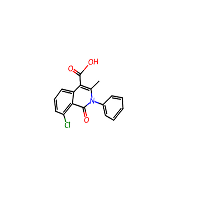 Cc1c(C(=O)O)c2cccc(Cl)c2c(=O)n1-c1ccccc1